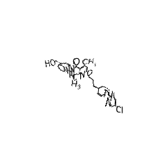 Cc1cc(OCCCC2CCN(c3ncc(Cl)cn3)CC2)nc(C)c1C(=O)NC[C@@H](O)CO